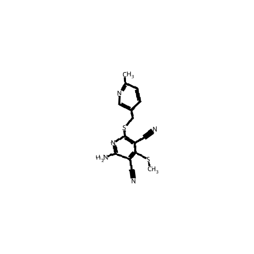 CSc1c(C#N)c(N)nc(SCc2ccc(C)nc2)c1C#N